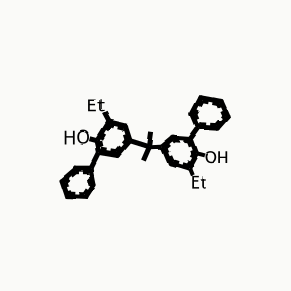 CCc1cc(C(C)(C)c2cc(CC)c(O)c(-c3ccccc3)c2)cc(-c2ccccc2)c1O